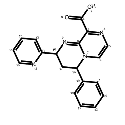 O=C(O)C1=NC=CN2C1=NC(c1ccccn1)CC2c1ccccc1